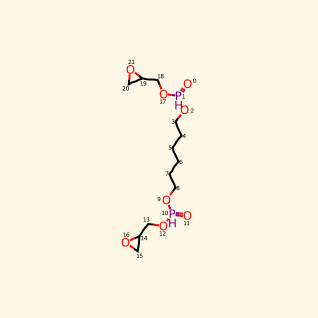 O=[PH](OCCCCCCO[PH](=O)OCC1CO1)OCC1CO1